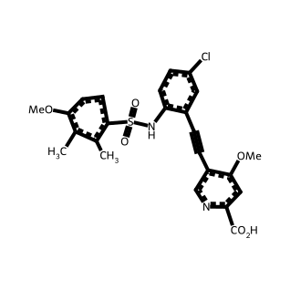 COc1cc(C(=O)O)ncc1C#Cc1cc(Cl)ccc1NS(=O)(=O)c1ccc(OC)c(C)c1C